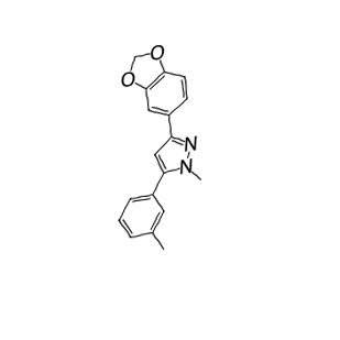 Cc1cccc(-c2cc(-c3ccc4c(c3)OCO4)nn2C)c1